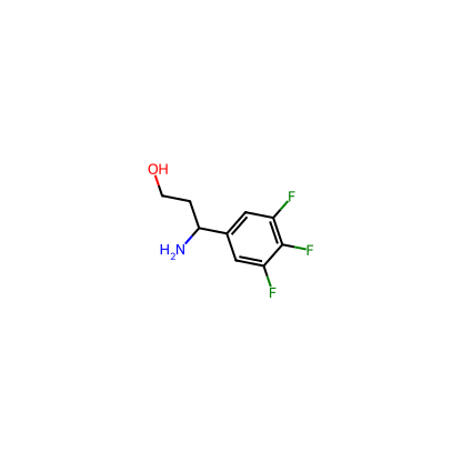 NC(CCO)c1cc(F)c(F)c(F)c1